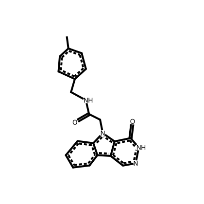 Cc1ccc(CNC(=O)Cn2c3ccccc3c3cn[nH]c(=O)c32)cc1